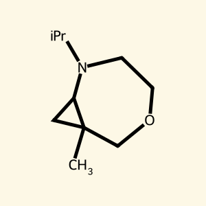 CC(C)N1CCOCC2(C)CC12